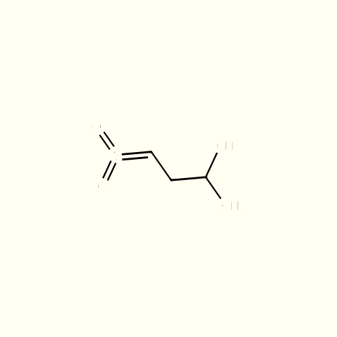 CC(C)C[C]=S(=O)=O